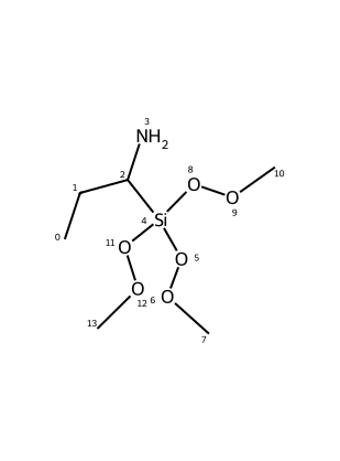 CCC(N)[Si](OOC)(OOC)OOC